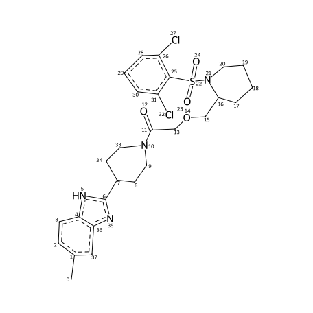 Cc1ccc2[nH]c(C3CCN(C(=O)COCC4CCCCN4S(=O)(=O)c4c(Cl)cccc4Cl)CC3)nc2c1